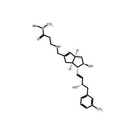 Cc1cccc(C[C@H](O)/C=C/[C@@H]2[C@H]3CC(CNCCC(=O)N(C)C(C)(C)C)=C[C@H]3C[C@H]2O)c1